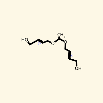 CC(OC/C=C/CO)OC/C=C/CO